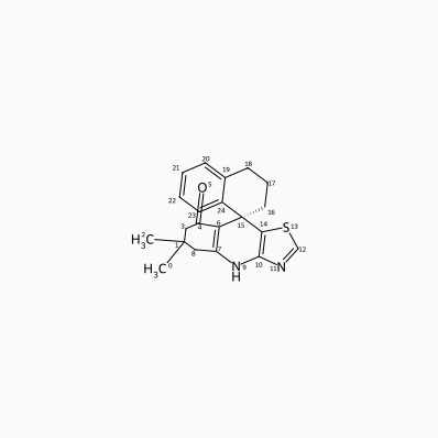 CC1(C)CC(=O)C2=C(C1)Nc1ncsc1[C@@]21CCCc2ccccc21